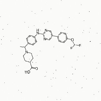 CC(c1ccc(Nc2ncc(-c3ccc(OC(F)F)cc3)cn2)cc1)N1CCC(C(=O)O)CC1